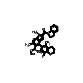 Cc1nc2c(cc(C(=O)N3CCc4ccccc43)n2C)c(-c2cc(F)c3c(c2C)CCCO3)c1[C@H](OC(C)(C)C)C(=O)O